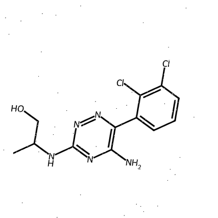 CC(CO)Nc1nnc(-c2cccc(Cl)c2Cl)c(N)n1